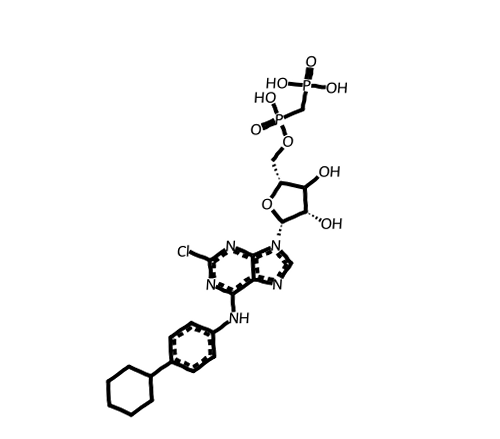 O=P(O)(O)CP(=O)(O)OC[C@H]1O[C@@H](n2cnc3c(Nc4ccc(C5CCCCC5)cc4)nc(Cl)nc32)[C@@H](O)C1O